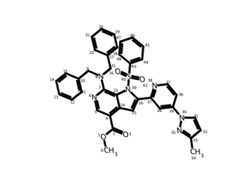 COC(=O)c1cnc(N(Cc2ccccc2)Cc2ccccc2)c2c1cc(-c1cc(-n3ccc(C)n3)ccn1)n2S(=O)(=O)c1ccccc1